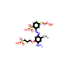 Cc1cc(N)c(OCCCS(=O)(=O)O)cc1N=Nc1cc(SOOO)ccc1S(=O)(=O)O